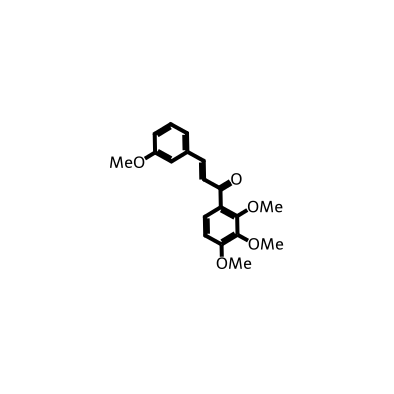 COc1cccc(C=CC(=O)c2ccc(OC)c(OC)c2OC)c1